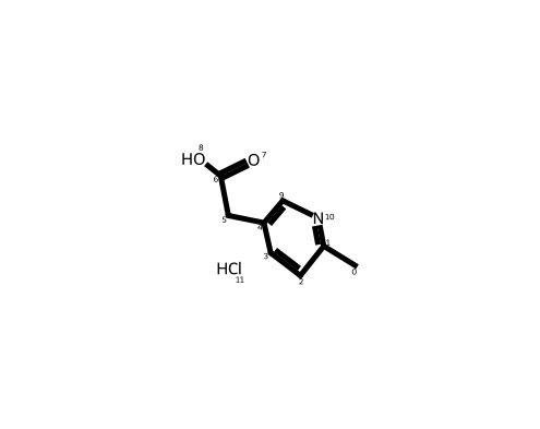 Cc1ccc(CC(=O)O)cn1.Cl